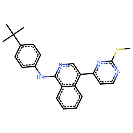 CSc1nccc(-c2cnc(Nc3ccc(C(C)(C)C)cc3)c3ccccc23)n1